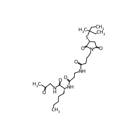 CCCCC[C@H](NC(=O)CCNC(=O)CCCN1C(=O)CC(SC(C)(CC)CC)C1=O)C(=O)NCC(C)=O